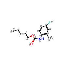 CC(C)CCCCOC(=O)Nc1ccc(F)cc1C(F)(F)F